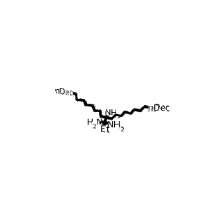 CCCCCCCCCCCCCCCCCCC(N)(CCCCCCCCCCCCCCCCCC)C(N)(N)CC